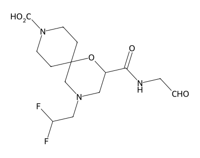 O=CCNC(=O)C1CN(CC(F)F)CC2(CCN(C(=O)O)CC2)O1